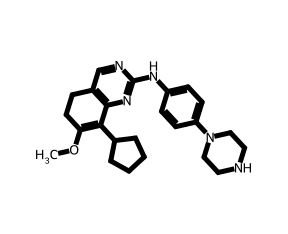 COC1=C(C2CCCC2)c2nc(Nc3ccc(N4CCNCC4)cc3)ncc2CC1